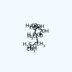 CCC(O)C(C)C1OC1CC(C)/C=C/C=C(\C)C1OC(=O)C[C@H](O)CCC(C)(O)C(OC(C)=O)/C=C/C1C